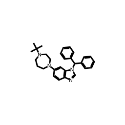 CC(C)(C)N1CCCN(c2ccc3ncn(C(c4ccccc4)c4ccccc4)c3c2)CC1